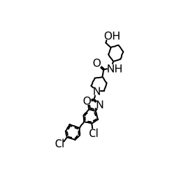 O=C(NC1CCCC(CO)C1)C1CCN(c2nc3cc(Cl)c(-c4ccc(Cl)cc4)cc3o2)CC1